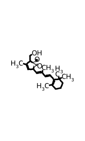 CC1=CC(/C=C(C)/C=C/C2=C(C)CCCC2(C)C)S(=O)(=O)C1CO